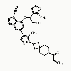 C=CC(=O)N1CCC2(CC1)CC(n1ncc(-c3cc(OC(CO)c4ccnn4C)c4c(C#N)cnn4c3)c1C)C2